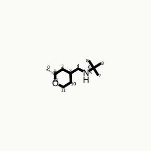 C[C@@H]1CC(CNC(C)(C)C)CCO1